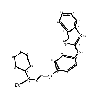 CCN(CCOc1ccc(Oc2nc3ccccc3[nH]2)cc1)C1CCCCC1